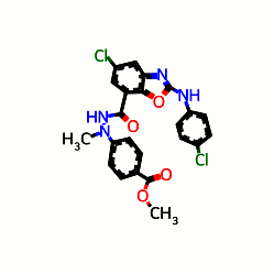 COC(=O)c1ccc(N(C)NC(=O)c2cc(Cl)cc3nc(Nc4ccc(Cl)cc4)oc23)cc1